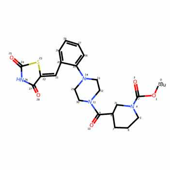 CC(C)(C)OC(=O)N1CCCC(C(=O)N2CCN(c3ccccc3/C=C3\SC(=O)NC3=O)CC2)C1